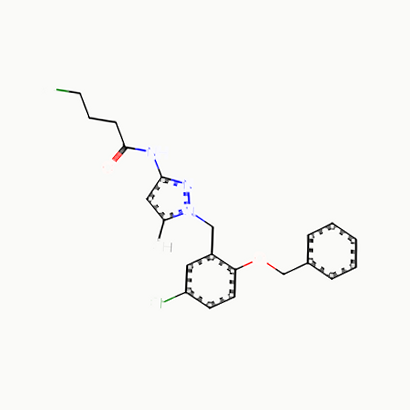 Cc1cc(NC(=O)CCCCl)nn1Cc1cc(Cl)ccc1OCc1ccccc1